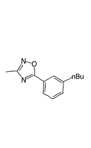 CCCCc1cccc(-c2nc(C)no2)c1